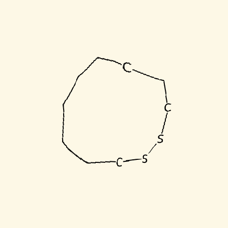 C1CCCCSSCCCC1